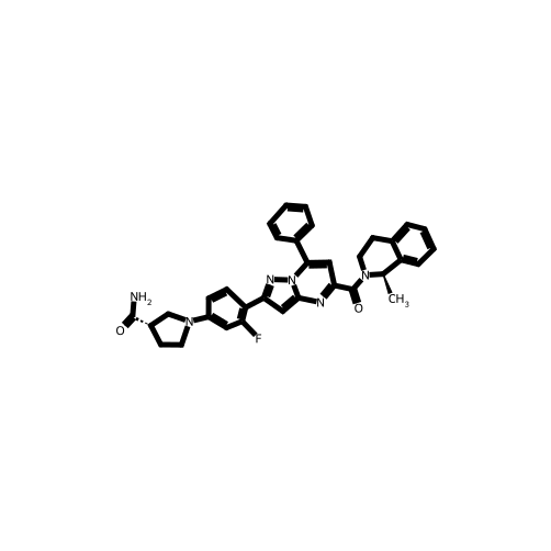 C[C@@H]1c2ccccc2CCN1C(=O)c1cc(-c2ccccc2)n2nc(-c3ccc(N4CC[C@H](C(N)=O)C4)cc3F)cc2n1